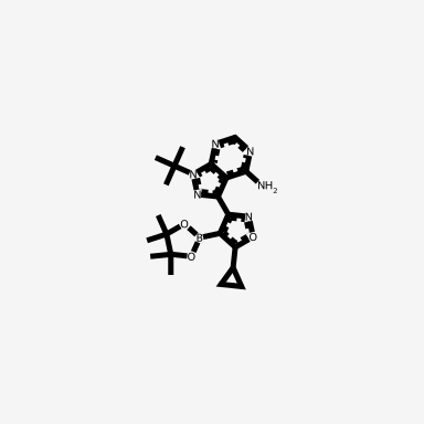 CC(C)(C)n1nc(-c2noc(C3CC3)c2B2OC(C)(C)C(C)(C)O2)c2c(N)ncnc21